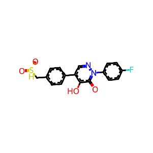 O=c1c(O)c(-c2ccc(C[SH](=O)=O)cc2)cnn1-c1ccc(F)cc1